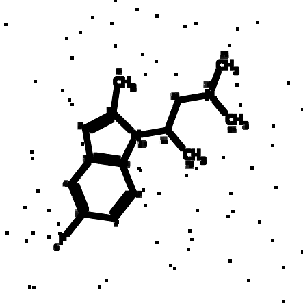 Cc1cc2cc(F)ccc2n1C(C)CN(C)C